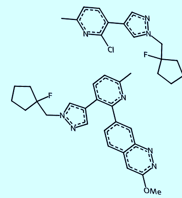 COc1cc2ccc(-c3nc(C)ccc3-c3cnn(CC4(F)CCCC4)c3)cc2nn1.Cc1ccc(-c2cnn(CC3(F)CCCC3)c2)c(Cl)n1